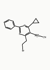 CC#N.Nc1c(CCBr)nc(-c2ccccc2)nc1C1CC1